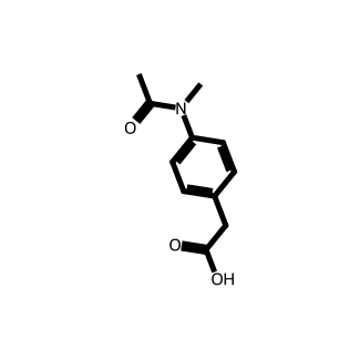 CC(=O)N(C)c1ccc(CC(=O)O)cc1